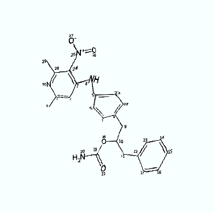 Cc1cc(Nc2ccc(CC(Cc3ccccc3)OC(N)=O)cc2)c([N+](=O)[O-])c(C)n1